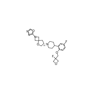 Fc1ccc(OCC2(F)COC2)c(C2CCN([C@@H]3COC4(C3)CN(c3nnco3)C4)CC2)c1